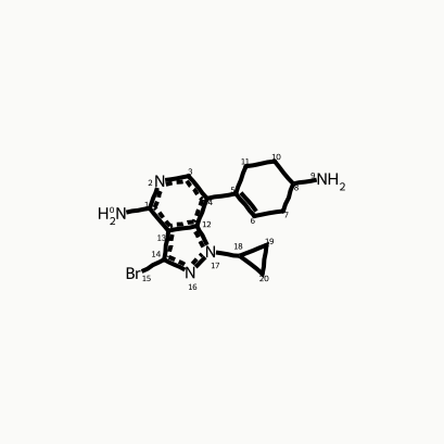 Nc1ncc(C2=CCC(N)CC2)c2c1c(Br)nn2C1CC1